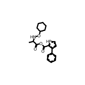 CC(NOC1CCCCC1)C(=O)OC(=O)c1[pH]ccc1-c1ccccc1